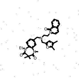 CCN1C(=O)C(C)(C)C(=O)N(C)c2cc(CN(CCn3ccc4ccccc4c3=O)Cc3cc(C)c(C)o3)ccc21